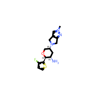 Cn1cc2c(n1)CN([C@H]1CO[C@H](c3sccc3F)[C@@H](N)C1)C2